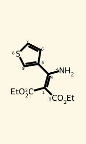 CCOC(=O)C(C(=O)OCC)=C(N)c1ccsc1